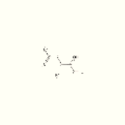 CCC(O)CCC(=O)[O-].[K+]